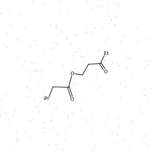 CCC(=O)CCOC(=O)C[C](C)C